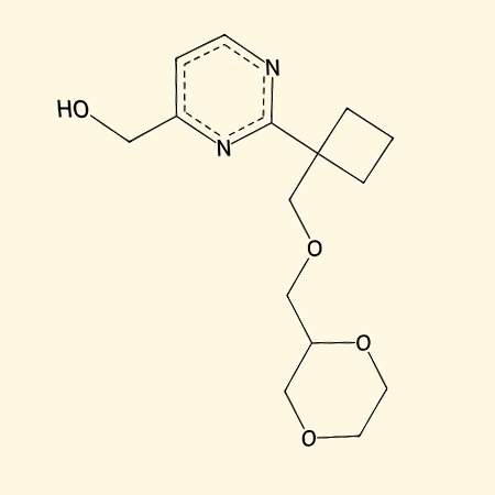 OCc1ccnc(C2(COCC3COCCO3)CCC2)n1